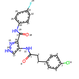 O=C(CCc1ccc(Cl)cc1)Nc1c[nH]nc1C(=O)Nc1ccc(F)cc1